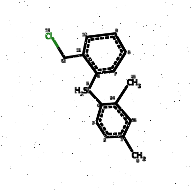 Cc1ccc([SiH2]c2ccccc2CCl)c(C)c1